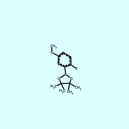 COc1ccc(F)c(B2OC(C)(C)C(C)(C)O2)c1